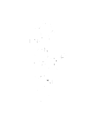 Cc1ccc(Nc2ccc3c(C(=O)NC4CCC4)cn(C(C)(C)C)c3n2)cc1